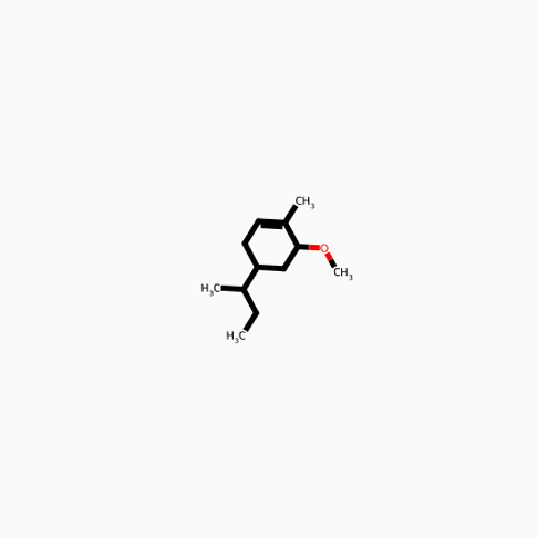 CCC(C)C1CC=C(C)C(OC)C1